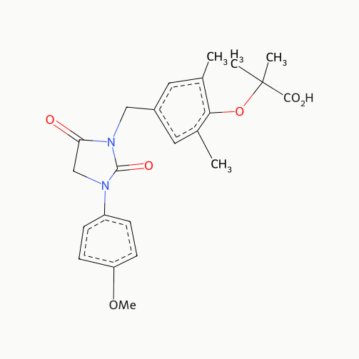 COc1ccc(N2CC(=O)N(Cc3cc(C)c(OC(C)(C)C(=O)O)c(C)c3)C2=O)cc1